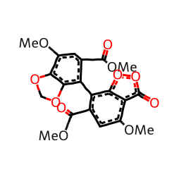 COC(=O)c1cc(OC)c2c(c1-c1c(C(=O)OC)cc(OC)c3c(=O)ooc13)OCO2